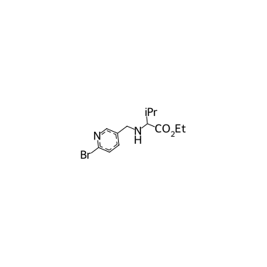 CCOC(=O)C(NCc1ccc(Br)nc1)C(C)C